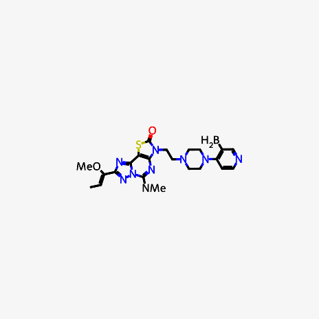 Bc1cnccc1N1CCN(CCn2c(=O)sc3c2nc(NC)n2nc(/C(=C/C)OC)nc32)CC1